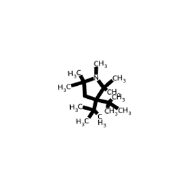 CN1C(C)(C)CC(C(C)(C)C)(C(C)(C)C)C1(C)C